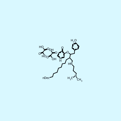 CCCCCCCCCCCCCCCCCCC(CNCCCN(C)C)C(Cc1ccccc1)Oc1c[nH]ccc1=O.O.O=C(O)C(=O)O.O=C(O)C(=O)O